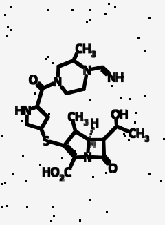 CC(O)C1C(=O)N2C(C(=O)O)=C(SC3CNC(C(=O)N4CCN(C=N)C(C)C4)C3)C(C)[C@@H]12